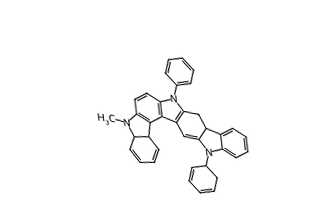 CN1c2ccc3c(c4c(n3-c3ccccc3)CC3C(=C4)N(C4C=CC=CC4)c4ccccc43)c2C2C=CC=CC21